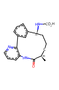 C[C@@H]1CCC[C@H](NC(=O)O)c2cccc(c2)-c2ncccc2NC1=O